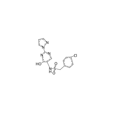 O=S(=O)(Cc1ccc(Cl)cc1)Nc1cnc(-n2cccn2)nc1O